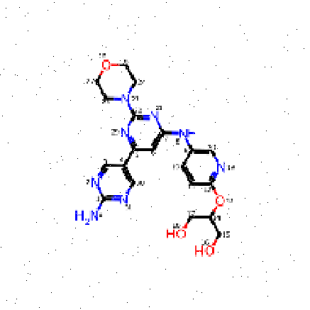 Nc1ncc(-c2cc(Nc3ccc(OC(CO)CO)nc3)nc(N3CCOCC3)n2)cn1